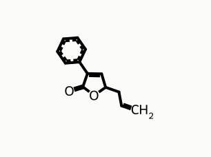 C=CCC1C=C(c2ccccc2)C(=O)O1